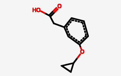 O=C(O)Cc1cccc(OC2CC2)c1